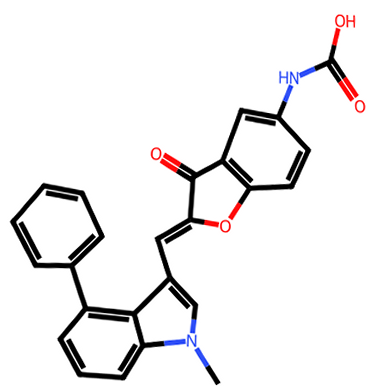 Cn1cc(C=C2Oc3ccc(NC(=O)O)cc3C2=O)c2c(-c3ccccc3)cccc21